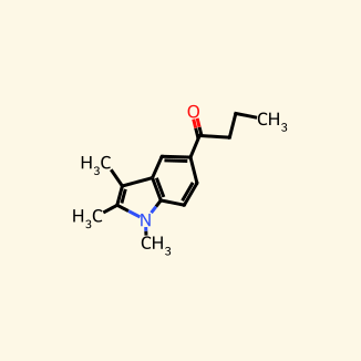 CCCC(=O)c1ccc2c(c1)c(C)c(C)n2C